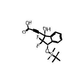 CC(C)(C)[Si](C)(C)O[C@@H]1c2ccccc2[C@@](O)(C#CC(=O)O)C1(F)F